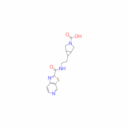 O=C(NCCC1C2CN(C(=O)O)CC12)c1nc2ccncc2s1